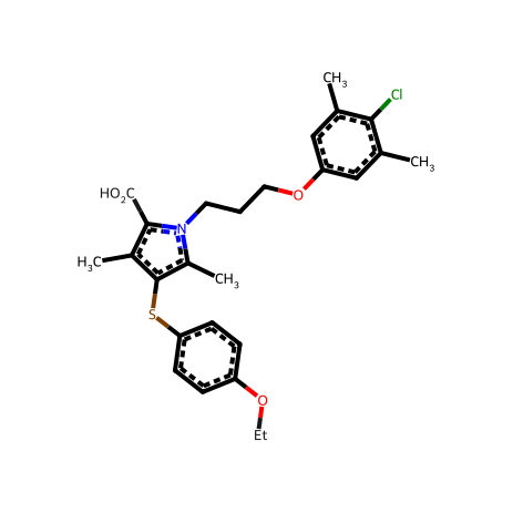 CCOc1ccc(Sc2c(C)c(C(=O)O)n(CCCOc3cc(C)c(Cl)c(C)c3)c2C)cc1